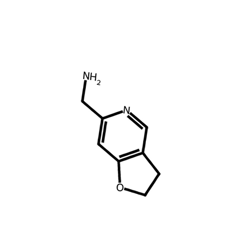 NCc1cc2c(cn1)CCO2